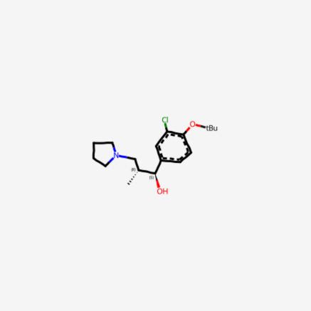 C[C@H](CN1CCCC1)[C@H](O)c1ccc(OC(C)(C)C)c(Cl)c1